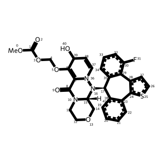 COC(=O)OCOC1=C2C(=O)N3CCOC[C@H]3N([C@@H]3c4ccccc4-c4sccc4-c4c(F)cccc43)N2C=CC1O